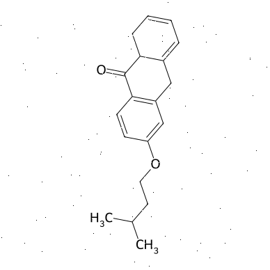 CC(C)CCOc1ccc2c(c1)CC1=CC=CCC1C2=O